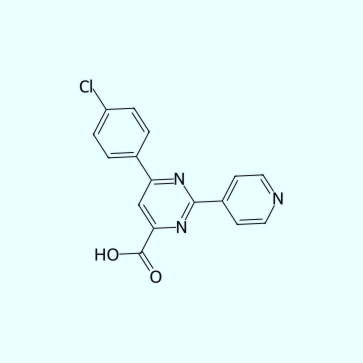 O=C(O)c1cc(-c2ccc(Cl)cc2)nc(-c2ccncc2)n1